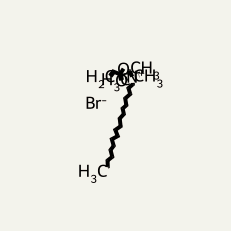 C=CC(=O)OC(C)[N+](C)(C)CCCCCCCCCCCCCCCCCC.[Br-]